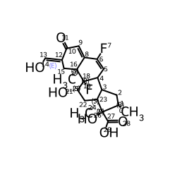 C[C@@H]1CC2C3C=C(F)C4=CC(=O)/C(=C/O)C[C@]4(C)[C@@]3(F)[C@@H](O)C[C@]2(C)[C@@]1(O)C(=O)O